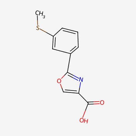 CSc1cccc(-c2nc(C(=O)O)co2)c1